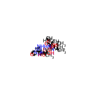 CCOC(=O)[C@H](CC(C)C)NP(=O)(N[C@@H](CC(C)C)C(=O)OCC)OC[C@H]1O[C@@H](n2cnc3c(N4CCOCC4)nc(N)nc32)C(C)(O)C1O